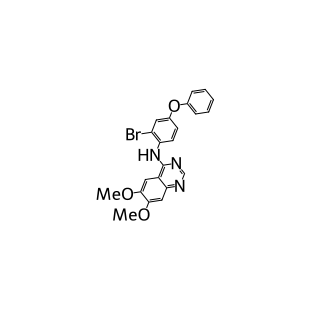 COc1cc2ncnc(Nc3ccc(Oc4ccccc4)cc3Br)c2cc1OC